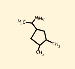 CNC(C)C1CC(C)C(C)C1